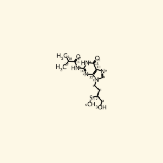 CSC(CO)CCn1cnc2c(=O)[nH]c(NC(=O)C(C)C)nc21